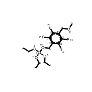 CC[O][Zr]([O]CC)([O]CC)[O]Cc1c(F)c(F)c(COC)c(F)c1F